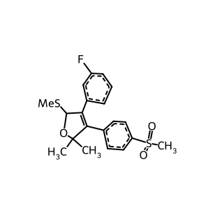 CSC1OC(C)(C)C(c2ccc(S(C)(=O)=O)cc2)=C1c1cccc(F)c1